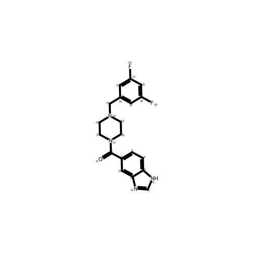 O=C(c1ccc2[nH]cnc2c1)N1CCN(Cc2cc(F)cc(F)c2)CC1